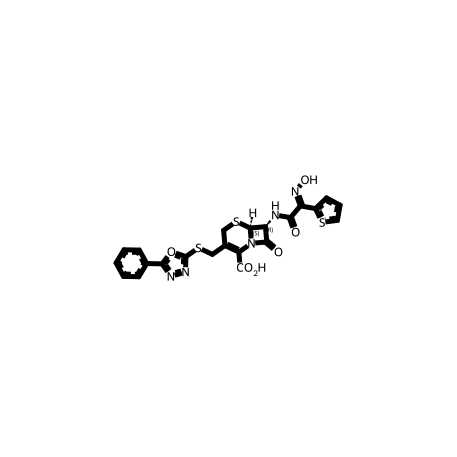 O=C(O)C1=C(CSc2nnc(-c3ccccc3)o2)CS[C@H]2[C@H](NC(=O)C(=NO)c3cccs3)C(=O)N12